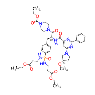 CCOC(=O)CCNP(=O)(NCCC(=O)OCC)c1ccc(C[C@H](NC(=O)c2cc(N3CC[C@H](OC)C3)nc(-c3ccccc3)n2)C(=O)N2CCN(C(=O)OCC)CC2)cc1